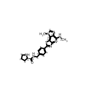 CNc1nc2nc(-c3ccc(CNC(=O)[C@H]4CCCN4)cc3)sc2c2c1ncn2C